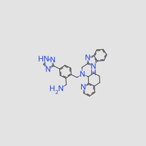 NCc1cc(-c2nc[nH]n2)ccc1CN(Cc1nc2ccccc2[nH]1)C1CCCc2cccnc21